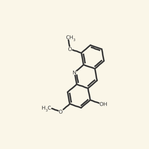 COc1cc(O)c2cc3cccc(OC)c3nc2c1